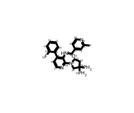 Cc1cc(C(=O)Nc2c(-c3ccccc3F)ccnc2N2CCC(P)(P)C2)ccn1